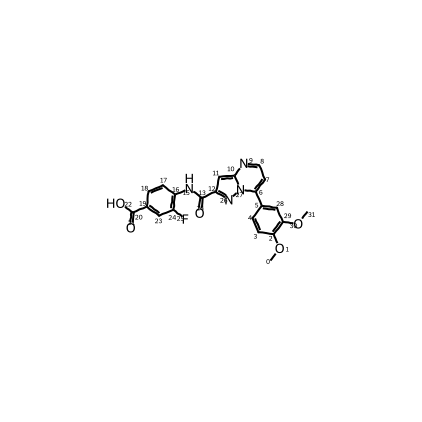 COc1ccc(-c2ccnc3cc(C(=O)Nc4ccc(C(=O)O)cc4F)nn23)cc1OC